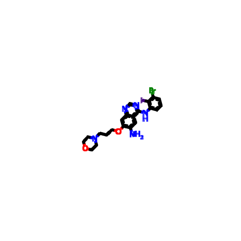 Nc1cc2c(Nc3cccc(Br)c3I)ncnc2cc1OCCCN1CCOCC1